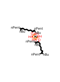 CCCCCC(=CCCCCC(O[PH](O)(O)[Ni][PH](O)(O)OC(CCCCC=C(CCCC)CCCCC)=C(CCCC)CCCCC)=C(CCCC)CCCCC)CCCC